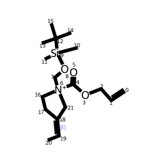 C=CCOC(=O)[N+]1(CO[Si](C)(C)C(C)(C)C)CC/C(=C\C)C1